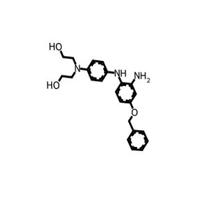 Nc1cc(OCc2ccccc2)ccc1Nc1ccc(N(CCO)CCO)cc1